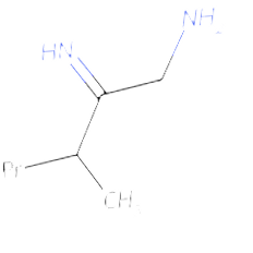 CC(C)C(C)C(=N)CN